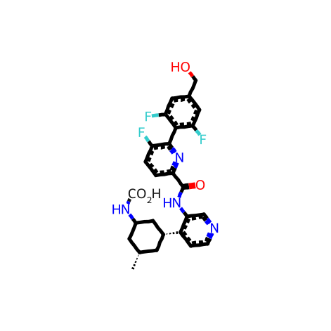 C[C@@H]1CC(NC(=O)O)C[C@H](c2ccncc2NC(=O)c2ccc(F)c(-c3c(F)cc(CO)cc3F)n2)C1